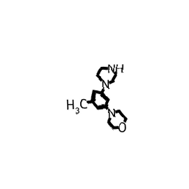 Cc1cc(N2CCNCC2)cc(N2CCOCC2)c1